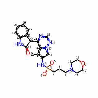 Cc1c(NS(=O)(=O)CCCN2CCOCC2)cn2ncnc(C3C(=O)Nc4ccccc43)c12